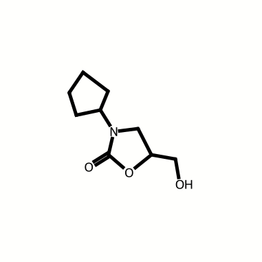 O=C1OC(CO)CN1C1CCCC1